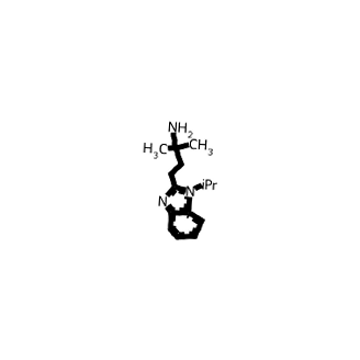 CC(C)n1c(CCC(C)(C)N)nc2ccccc21